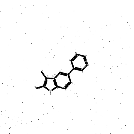 Cc1sc2ccc(-c3ccccc3)cc2c1C